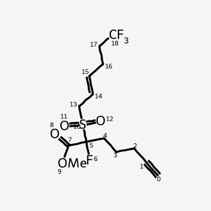 C#CCCCC(F)(C(=O)OC)S(=O)(=O)CC=CCCC(F)(F)F